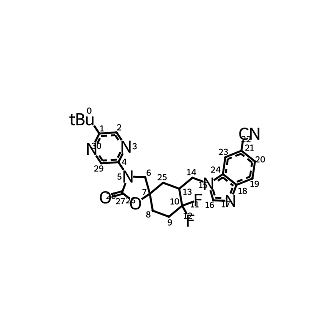 CC(C)(C)c1cnc(N2CC3(CCC(F)(F)C(Cn4cnc5ccc(C#N)cc54)C3)OC2=O)cn1